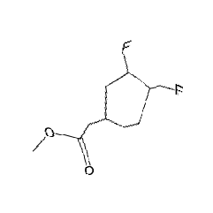 COC(=O)C1CC(F)C(F)C1